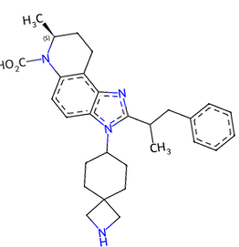 CC(Cc1ccccc1)c1nc2c3c(ccc2n1C1CCC2(CC1)CNC2)N(C(=O)O)[C@@H](C)CC3